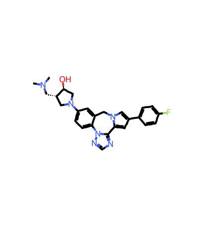 CN(C)C[C@H]1CN(c2ccc3c(c2)Cn2cc(-c4ccc(F)cc4)cc2-c2ncnn2-3)C[C@@H]1O